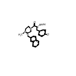 CC(=O)N[C@H](Cc1ccc(Cl)cc1)C(=O)N1CCN(C)[C@H](Cc2ccc3ccccc3c2)C1